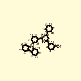 Brc1cccc(-c2cc(-c3ccccc3)nc(-c3cccc(-n4c5ccccc5c5ccccc54)c3)n2)c1